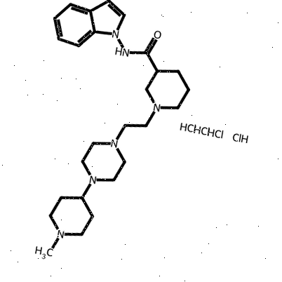 CN1CCC(N2CCN(CCN3CCCC(C(=O)Nn4ccc5ccccc54)C3)CC2)CC1.Cl.Cl.Cl.Cl